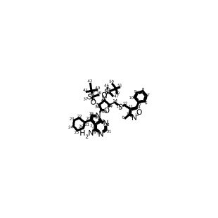 Cc1noc(-c2ccccc2)c1CSC[C@H]1O[C@@H](n2cc(C3CCCCC3)c3c(N)ncnc32)[C@H](O[Si](C)(C)C(C)(C)C)[C@@H]1O[Si](C)(C)C(C)(C)C